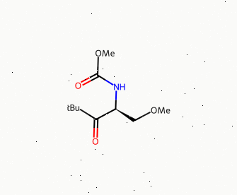 COC[C@H](NC(=O)OC)C(=O)C(C)(C)C